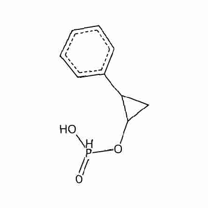 O=[PH](O)OC1CC1c1ccccc1